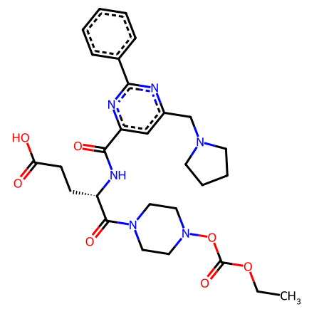 CCOC(=O)ON1CCN(C(=O)[C@H](CCC(=O)O)NC(=O)c2cc(CN3CCCC3)nc(-c3ccccc3)n2)CC1